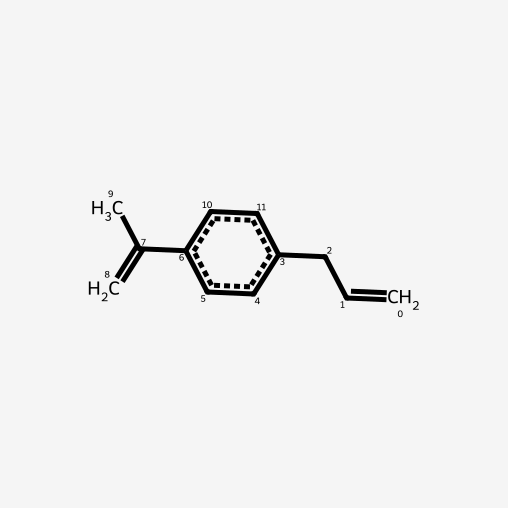 C=CCc1ccc(C(=C)C)cc1